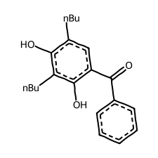 CCCCc1cc(C(=O)c2ccccc2)c(O)c(CCCC)c1O